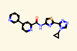 O=C(Nc1csc(-c2nncn2C2CC2)n1)c1cc(-c2cccnc2)ccn1